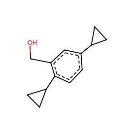 OCc1cc(C2CC2)ccc1C1CC1